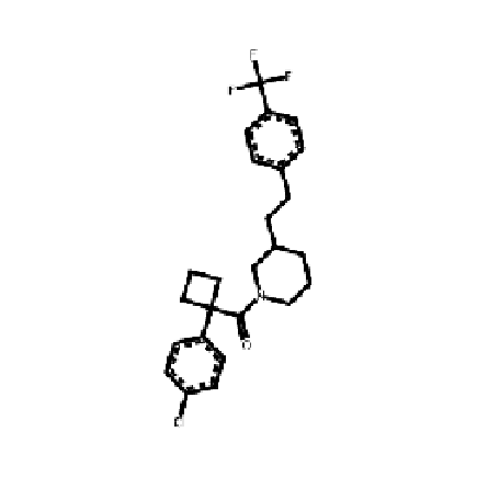 O=C(N1CCCC(CCc2ccc(C(F)(F)F)cc2)C1)C1(c2ccc(Cl)cc2)CCC1